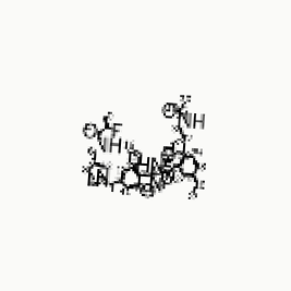 C=C(F)C(=O)NCc1cnn(Cc2cc(OC)c3c(NS(=O)(=O)c4cc(CC)ccc4OCCNC(C)=O)noc3c2)c1